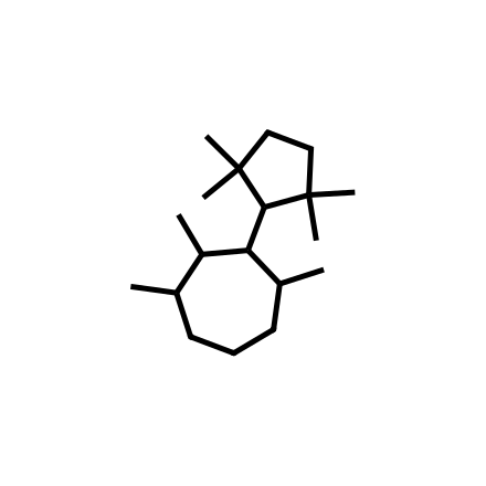 CC1CCCC(C)C(C2C(C)(C)CCC2(C)C)C1C